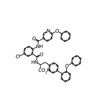 O=C(Nc1ccc(Cl)cc1C(=O)N[C@@H](Cc1ccc(-c2ccccc2Oc2ccccc2)cc1)C(=O)O)c1ccc(Oc2ccccc2)nc1